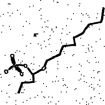 CCCCCCCCCOC(CCC)OS(=O)(=O)[O-].[K+]